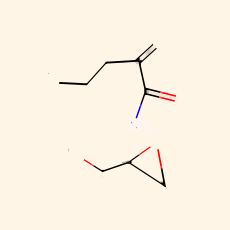 C=C(CCC)C(N)=O.[O]CC1CO1